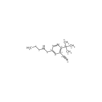 CCCNCc1cnc(C(C)(C)C)c(C#N)c1